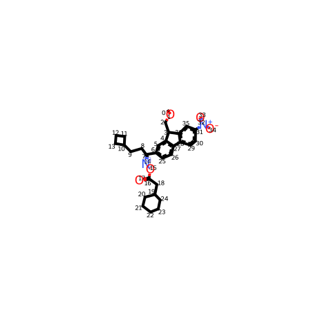 COCC1c2cc(/C(CCC3CCC3)=N\OC(=O)CC3CCCCC3)ccc2-c2ccc([N+](=O)[O-])cc21